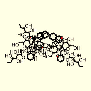 CC[C@@H](O)[C@H](O)[C@H](O)C(=O)NO[C@@]1(Cc2ccccc2)O[C@H](CO)[C@@H](O)[C@H](O)[C@@]1(O)N(C(=O)c1ccc(Cc2ccc(C(=O)N([C@]3(O)[C@@H](O)[C@H](O)[C@@H](CO)O[C@]3(Cc3ccccc3)ONC(=O)[C@@H](O)[C@@H](O)[C@H](O)CC)[C@]3(O)[C@@H](O)[C@H](O)[C@@H](CO)O[C@]3(Cc3ccccc3)ONC(=O)[C@@H](O)[C@@H](O)[C@H](O)CC)cc2)cc1)[C@]1(O)[C@@H](O)[C@H](O)[C@@H](CO)O[C@]1(Cc1ccccc1)ONC(=O)[C@@H](O)[C@@H](O)[C@H](O)CC